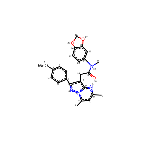 COc1ccc(-c2nn3c(C)cc(C)nc3c2CC(=O)N(C)c2ccc3c(c2)OCO3)cc1